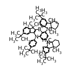 CC(C)(C)c1ccc(N2C3=C(B4c5cc(C(C)(C)C)cc6c5N(c5cc(N7c8ccc(C(C)(C)C)cc8C8(C)CCCCC78C)cc2c54)C2(C)CCCCC62C)C(C)(C)c2ccc(C(C)(C)C)cc23)cc1